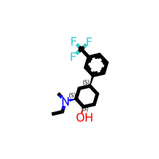 CCN(C)[C@H]1C[C@@H](c2cccc(C(F)(F)F)c2)CC[C@@H]1O